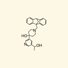 CC(O)c1cncc(C2(O)CCN(CC34CC(c5ccccc53)c3ccccc34)CC2)c1